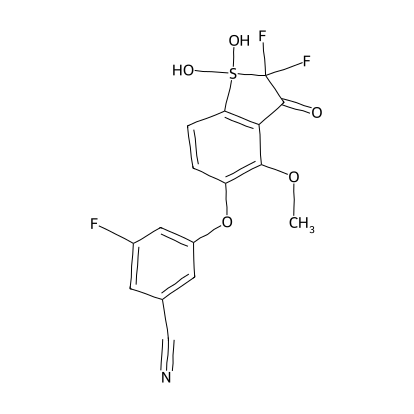 COc1c(Oc2cc(F)cc(C#N)c2)ccc2c1C(=O)C(F)(F)S2(O)O